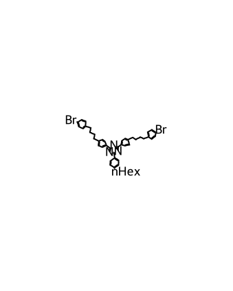 CCCCCCc1ccc(-c2nc(-c3ccc(CCCCc4ccc(Br)cc4)cc3)nc(-c3ccc(CCCCc4ccc(Br)cc4)cc3)n2)cc1